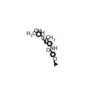 Cn1c(CNC2CCC(C)(O)CC2)cc2cc(NC(=O)c3ccc(OCC4CC4)cc3)ccc21